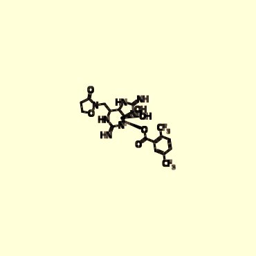 N=C1NC2C(CN3OCCC3=O)NC(=N)N3C[C@H](OC(=O)c4cc(C(F)(F)F)ccc4C(F)(F)F)C(O)(O)C23N1